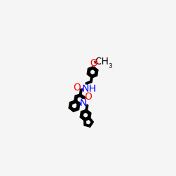 COc1ccc(CCNC(=O)c2cc3ccccc3n(Cc3ccc4c(c3)CCC4)c2=O)cc1